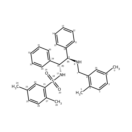 Cc1ccc(C)c(CN[C@H](c2ccccc2)[C@H](NS(=O)(=O)c2cc(C)ccc2C)c2ccccc2)c1